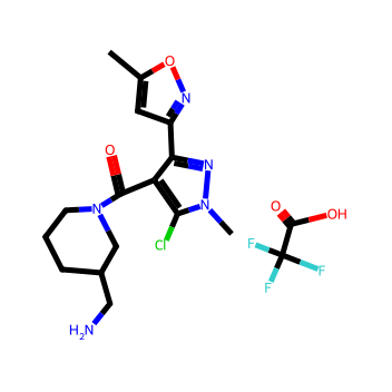 Cc1cc(-c2nn(C)c(Cl)c2C(=O)N2CCCC(CN)C2)no1.O=C(O)C(F)(F)F